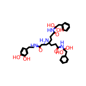 NC(CCC(=O)NCCc1ccc(O)c(O)c1)(CCC(=O)NC(O)(O)Cc1ccccc1)CCC(=O)NC(O)(O)Cc1ccccc1